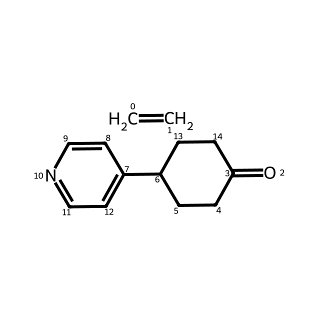 C=C.O=C1CCC(c2ccncc2)CC1